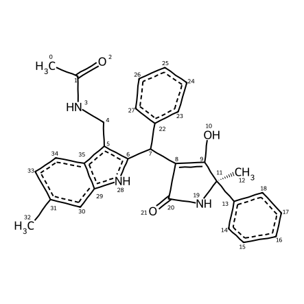 CC(=O)NCc1c(C(C2=C(O)[C@@](C)(c3ccccc3)NC2=O)c2ccccc2)[nH]c2cc(C)ccc12